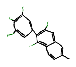 Cc1ccc2c(F)c(-c3cc(F)c(F)c(F)c3)c(F)cc2c1